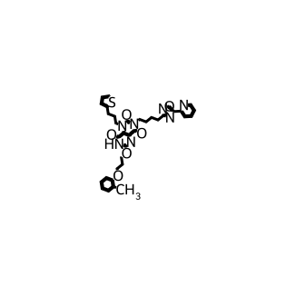 Cc1ccccc1OCCCOc1nc2c(=O)n(CCCCc3noc(-c4ccccn4)n3)c(=O)n(CCCc3cccs3)c2c(=O)[nH]1